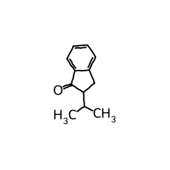 CC(C)C1Cc2ccccc2C1=O